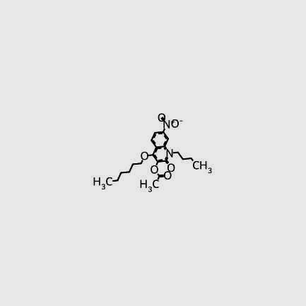 CCCCCCOc1c(OC(C)=O)c(=O)n(CCCC)c2cc([N+](=O)[O-])ccc12